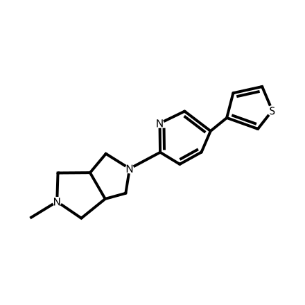 CN1CC2CN(c3ccc(-c4ccsc4)cn3)CC2C1